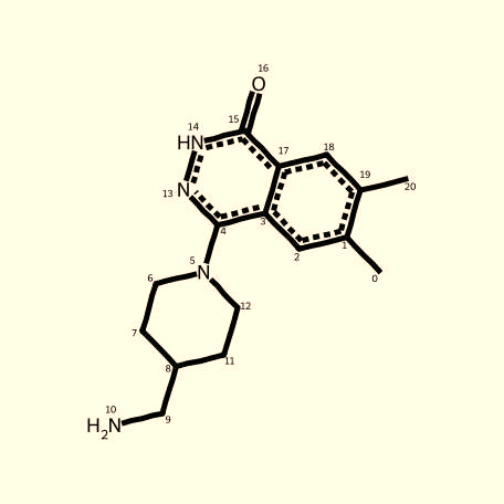 Cc1cc2c(N3CCC(CN)CC3)n[nH]c(=O)c2cc1C